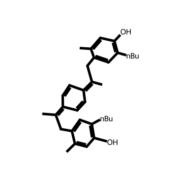 CCCCc1cc(CC(C)=c2ccc(=C(C)Cc3cc(CCCC)c(O)cc3C)cc2)c(C)cc1O